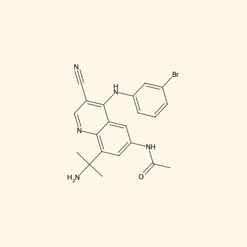 CC(=O)Nc1cc(C(C)(C)N)c2ncc(C#N)c(Nc3cccc(Br)c3)c2c1